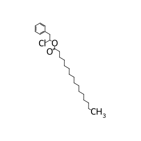 CCCCCCCCCCCCCCCC(=O)OC(Cl)Cc1ccccc1